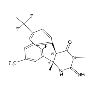 CN1C(=N)N[C@](C)(c2cc(C(F)(F)F)ccc2F)[C@@H](c2ccc(C(C)(F)F)cc2)C1=O